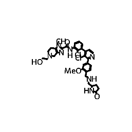 COc1cc(-c2nccc(-c3cccc(NC(=O)c4nc5c(n4C)CCN(CCO)C5)c3Cl)c2Cl)ccc1CNCC1CCC(=O)N1